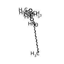 CCC=CCC=CCC=CCC=CCC=CCCCC(=O)NCc1ccc(NC(=O)Nc2c(C(C)C)cccc2C(C)C)cc1